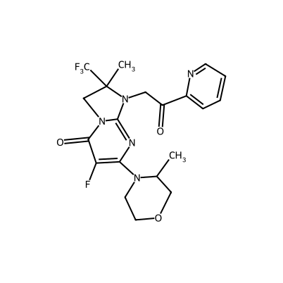 CC1COCCN1c1nc2n(c(=O)c1F)CC(C)(C(F)(F)F)N2CC(=O)c1ccccn1